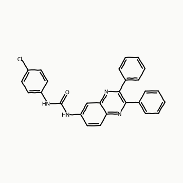 O=C(Nc1ccc(Cl)cc1)Nc1ccc2nc(-c3ccccc3)c(-c3ccccc3)nc2c1